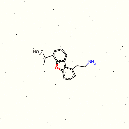 CC(C(=O)O)c1cccc2c1oc1cccc(CCN)c12